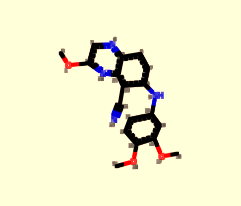 COc1cnc2ccc(Nc3ccc(OC)c(OC)c3)c(C#N)c2n1